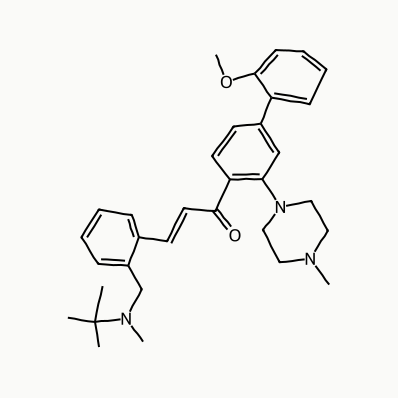 COc1ccccc1-c1ccc(C(=O)/C=C/c2ccccc2CN(C)C(C)(C)C)c(N2CCN(C)CC2)c1